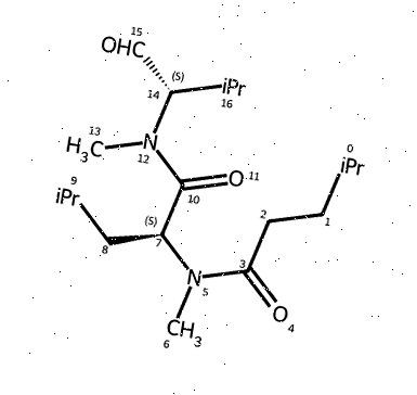 CC(C)CCC(=O)N(C)[C@@H](CC(C)C)C(=O)N(C)[C@H](C=O)C(C)C